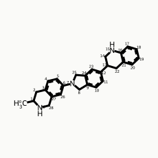 CC1Cc2ccc(N3Cc4ccc(C5CNc6ccccc6C5)cc4C3)cc2CN1